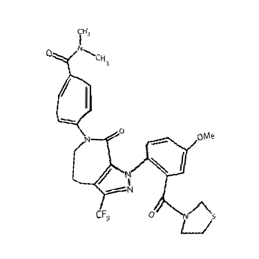 COc1ccc(-n2nc(C(F)(F)F)c3c2C(=O)N(c2ccc(C(=O)N(C)C)cc2)CC3)c(C(=O)N2CCSC2)c1